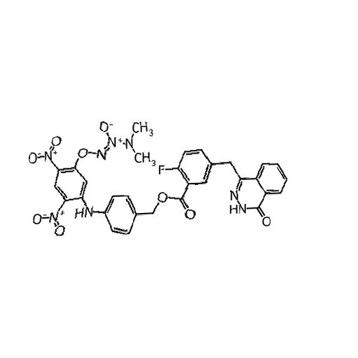 CN(C)/[N+]([O-])=N/Oc1cc(Nc2ccc(COC(=O)c3cc(Cc4n[nH]c(=O)c5ccccc45)ccc3F)cc2)c([N+](=O)[O-])cc1[N+](=O)[O-]